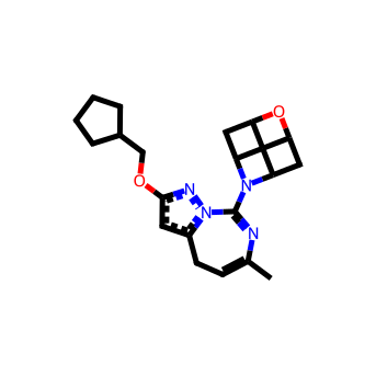 CC1=CCc2cc(OCC3CCCC3)nn2C(N2C3CC4OC5CC2C453)=N1